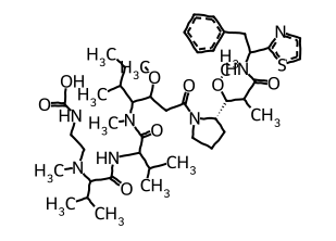 CCC(C)C(C(CC(=O)N1CCC[C@H]1C(OC)C(C)C(=O)NC(Cc1ccccc1)c1nccs1)OC)N(C)C(=O)C(NC(=O)C(C(C)C)N(C)CCNC(=O)O)C(C)C